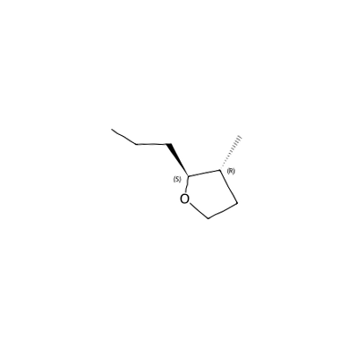 CCC[C@@H]1OCC[C@H]1C